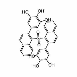 O=S(=O)(c1c(-c2cc(O)c(O)c(O)c2)ccc2ccccc12)c1c(-c2cc(O)c(O)c(O)c2)ccc2ccccc12